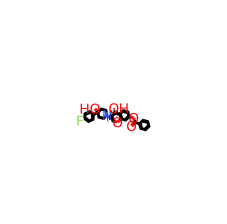 O=C(Oc1ccc2c(c1)OC[C@@H](N1CCC(O)(c3ccc(F)cc3)CC1)[C@H]2O)c1ccccc1